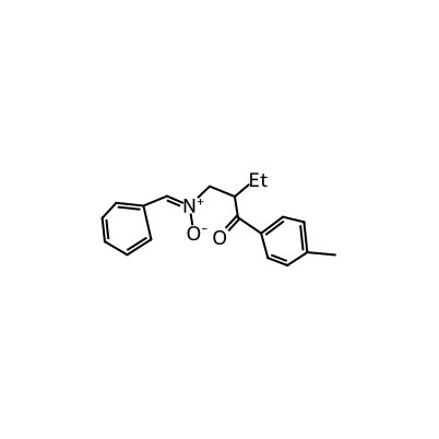 CCC(C[N+]([O-])=Cc1ccccc1)C(=O)c1ccc(C)cc1